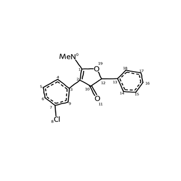 CNC1=C(c2cccc(Cl)c2)C(=O)C(c2ccccc2)O1